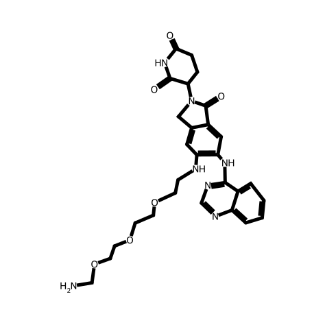 NCOCCOCCOCCNc1cc2c(cc1Nc1ncnc3ccccc13)C(=O)N(C1CCC(=O)NC1=O)C2